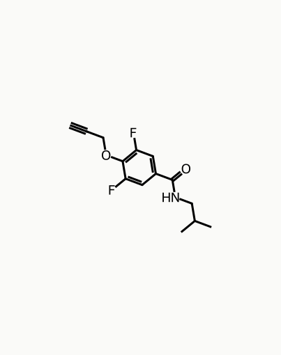 C#CCOc1c(F)cc(C(=O)NCC(C)C)cc1F